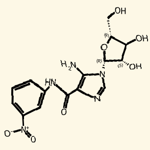 Nc1c(C(=O)Nc2cccc([N+](=O)[O-])c2)ncn1[C@@H]1O[C@H](CO)C(O)[C@@H]1O